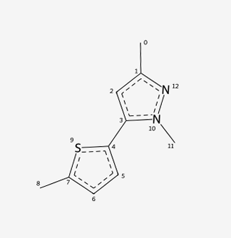 Cc1cc(-c2ccc(C)s2)n(C)n1